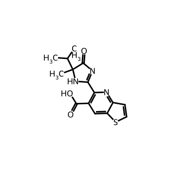 CC(C)C1(C)NC(c2nc3ccsc3cc2C(=O)O)=NC1=O